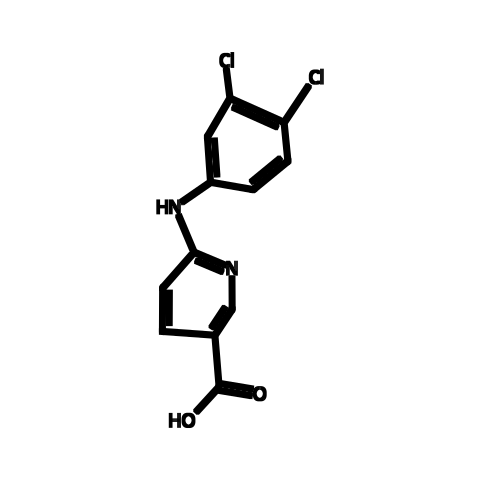 O=C(O)c1ccc(Nc2ccc(Cl)c(Cl)c2)nc1